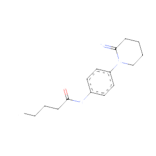 CCCCC(=O)Nc1ccc(N2CCCCC2=N)cc1